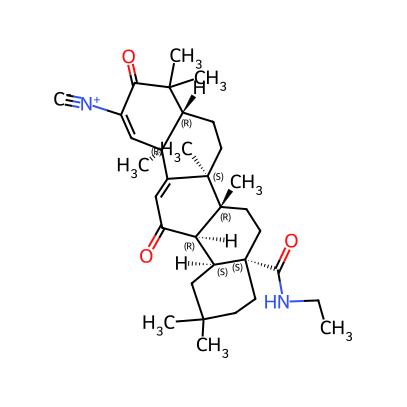 [C-]#[N+]C1=C[C@]2(C)C3=CC(=O)[C@@H]4[C@@H]5CC(C)(C)CC[C@]5(C(=O)NCC)CC[C@@]4(C)[C@]3(C)CC[C@H]2C(C)(C)C1=O